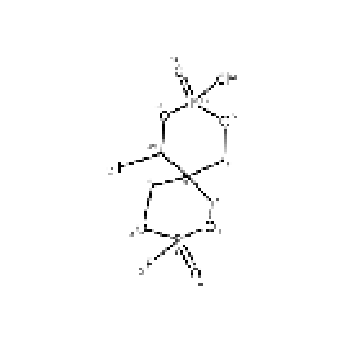 O=P1(F)OCC2(CO1)COP(=O)(Cl)OC2F